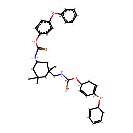 CC1(C)CC(NC(=S)Oc2ccc(Oc3ccccc3)cc2)CC(C)(CNC(S)OC2C=CC(OC3C=CC=CC3)=CC2)C1